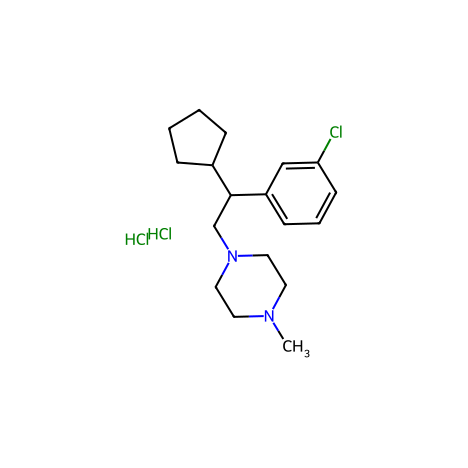 CN1CCN(CC(c2cccc(Cl)c2)C2CCCC2)CC1.Cl.Cl